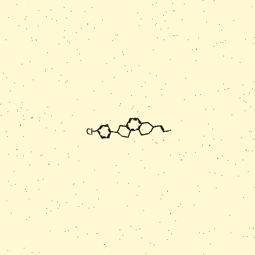 C/C=C/C1CCc2c(ccc3c2CCC(c2ccc(Cl)cc2)C3)C1